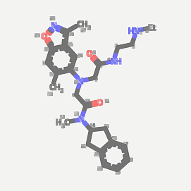 CCNCCNC(=O)CN(CC(=O)N(C)C1Cc2ccccc2C1)c1cc2c(C)noc2cc1C